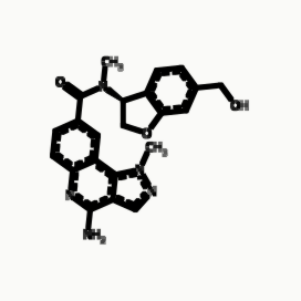 CN(C(=O)c1ccc2nc(N)c3cnn(C)c3c2c1)[C@@H]1COc2cc(CO)ccc21